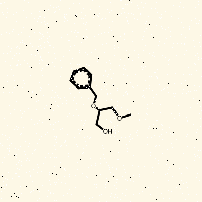 COCC(CO)OCc1ccccc1